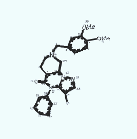 COc1ccc(CN2CCc3c(n4ncc(C)c4n(-c4ccccc4)c3=O)C2)cc1OC